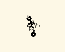 Cn1nc(-c2ccncc2)c2cncc(C(=O)NCc3ccccc3)c21